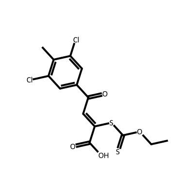 CCOC(=S)SC(=CC(=O)c1cc(Cl)c(C)c(Cl)c1)C(=O)O